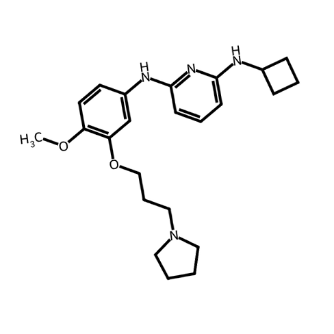 COc1ccc(Nc2cccc(NC3CCC3)n2)cc1OCCCN1CCCC1